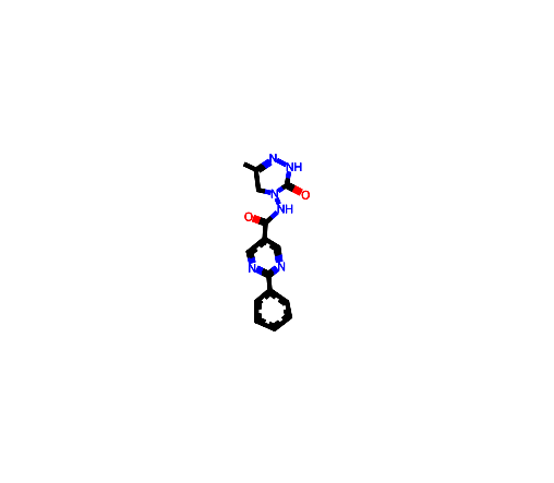 CC1=NNC(=O)N(NC(=O)c2cnc(-c3ccccc3)nc2)C1